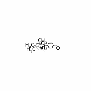 CC(C)(C)CC(C)(C)OC(=O)c1ccc(C=O)cc1